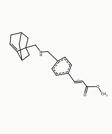 COC(=O)/C=C/c1ccc(CNCC23CC4CC=C2C(C4)C3)cc1